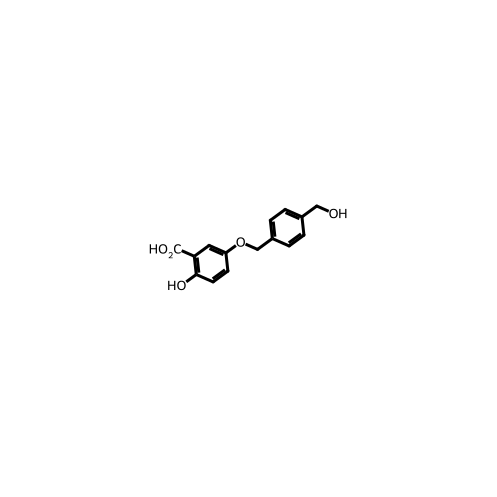 O=C(O)c1cc(OCc2ccc(CO)cc2)ccc1O